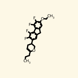 CCCC1=CCC(c2cc3c(c(F)c2F)-c2c(cc(OCC)c(F)c2F)C3)CO1